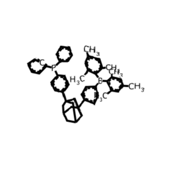 Cc1cc(C)c(B(c2ccc(C34CC5CC(C3)CC(c3ccc(P(c6ccccc6)c6ccccc6)cc3)(C5)C4)cc2)c2c(C)cc(C)cc2C)c(C)c1